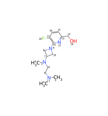 CN(C)CCN(C)C1CN(c2nc(CO)ccc2F)C1